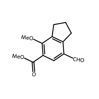 COC(=O)c1cc(C=O)c2c(c1OC)CCC2